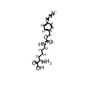 [N-]=[N+]=Nc1ccc(COC(=O)NCCCC[C@H](N)C(=O)O)cc1